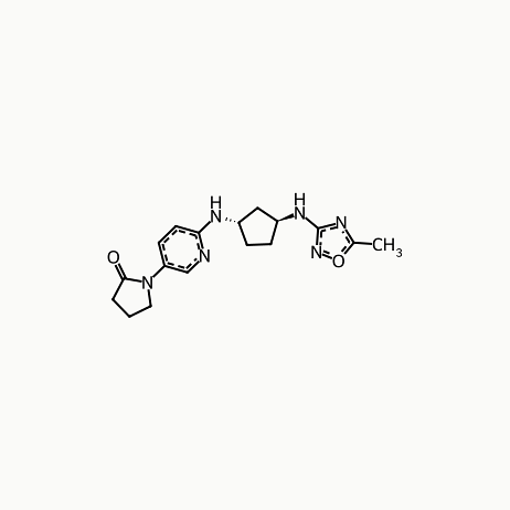 Cc1nc(N[C@H]2CC[C@H](Nc3ccc(N4CCCC4=O)cn3)C2)no1